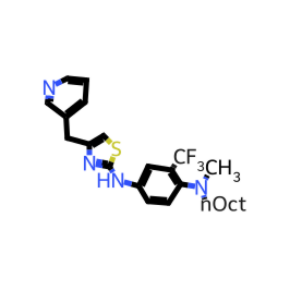 CCCCCCCCN(C)c1ccc(Nc2nc(Cc3cccnc3)cs2)cc1C(F)(F)F